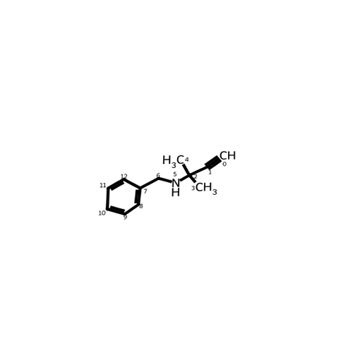 C#CC(C)(C)NCc1ccccc1